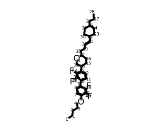 CCCCCOc1ccc(-c2ccc(C3CCC(CC/C=C/C4CCC(CCC)CC4)OC3)c(F)c2F)c(F)c1F